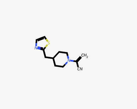 C=C(C#N)N1CCC(Cc2nccs2)CC1